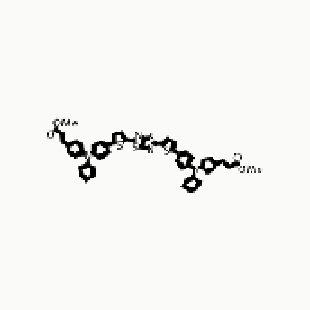 COC(=O)CCc1ccc(N(c2ccccc2)c2ccc(-c3ccc(-c4nc5sc(-c6ccc(-c7ccc(N(c8ccccc8)c8ccc(CCC(=O)OC)cc8)cc7)s6)nc5s4)s3)cc2)cc1